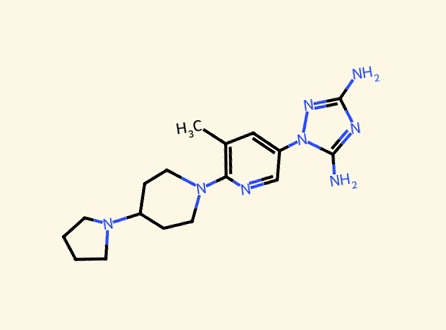 Cc1cc(-n2nc(N)nc2N)cnc1N1CCC(N2CCCC2)CC1